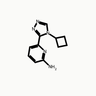 Nc1cccc(-c2nncn2C2CCC2)n1